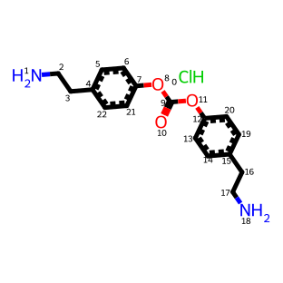 Cl.NCCc1ccc(OC(=O)Oc2ccc(CCN)cc2)cc1